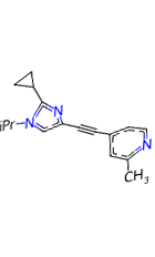 Cc1cc(C#Cc2cn(C(C)C)c(C3CC3)n2)ccn1